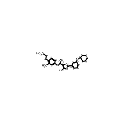 Cc1cc(OC(C)c2oc(-c3cccc(OC4CCOCC4)c3)nc2C(C)C)ccc1CCC(=O)O